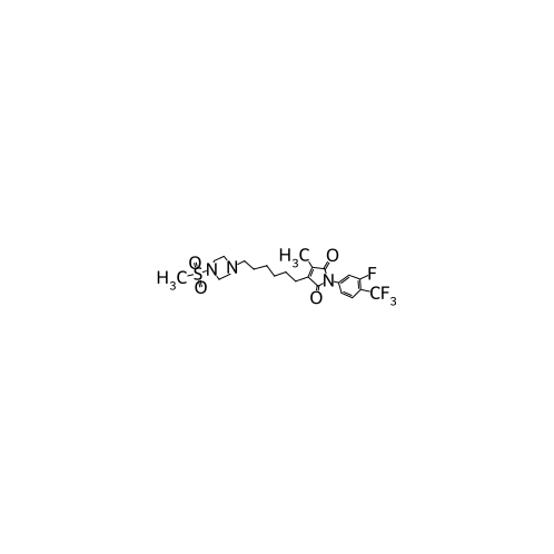 CC1=C(CCCCCCN2CCN(S(C)(=O)=O)CC2)C(=O)N(c2ccc(C(F)(F)F)c(F)c2)C1=O